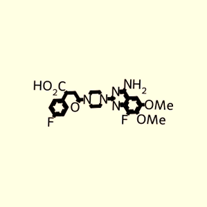 COc1cc2c(N)nc(N3CCN(C(=O)CC(C(=O)O)c4ccc(F)cc4)CC3)nc2c(F)c1OC